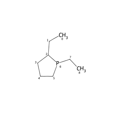 CCC1CCCP1CC